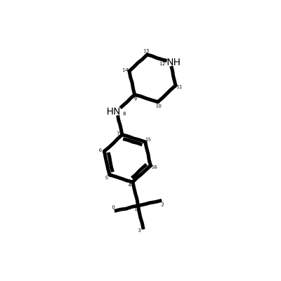 CC(C)(C)c1ccc(NC2CCNCC2)cc1